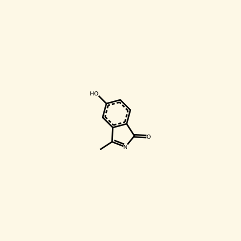 CC1=NC(=O)c2ccc(O)cc21